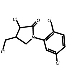 O=C1C(Cl)C(CCl)CN1c1cc(Cl)ccc1Cl